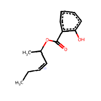 CC/C=C\C(C)OC(=O)c1ccccc1O